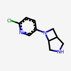 Clc1ccc(N2CC3CNCC32)cn1